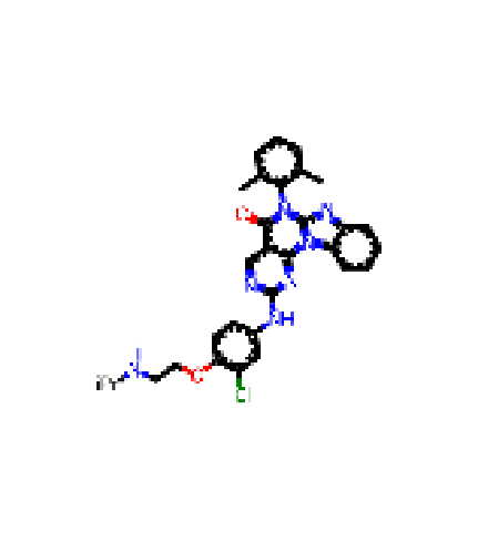 Cc1cccc(C)c1-n1c(=O)c2cnc(Nc3ccc(OCCNC(C)C)c(Cl)c3)nc2n2c3ccccc3nc12